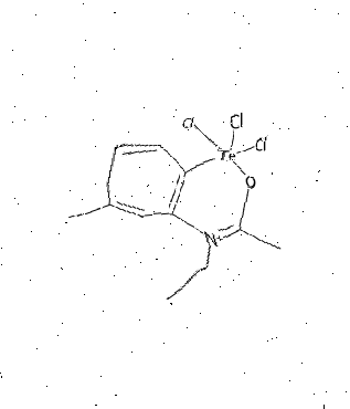 CC[N+]1=C(C)O[Te](Cl)(Cl)(Cl)c2ccc(C)cc21